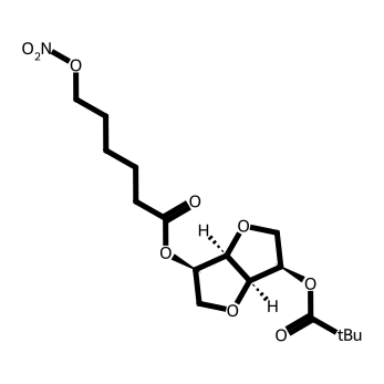 CC(C)(C)C(=O)O[C@@H]1CO[C@H]2[C@@H]1OC[C@H]2OC(=O)CCCCCO[N+](=O)[O-]